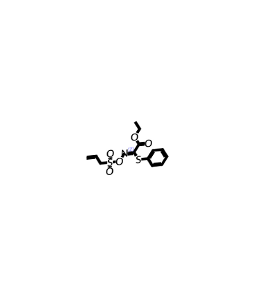 C=CCS(=O)(=O)O/N=C(\Sc1ccccc1)C(=O)OCC